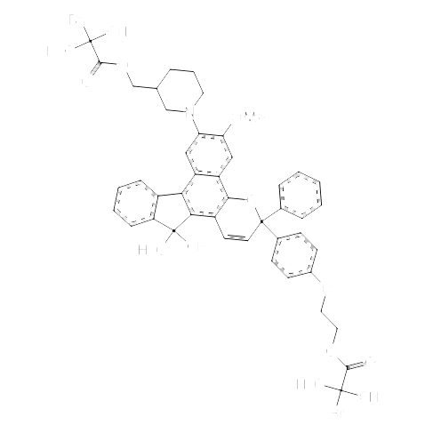 COc1cc2c3c(c4c(c2cc1N1CCCC(COC(=O)C(C)(C)Br)C1)-c1ccccc1C4(C)C)C=CC(c1ccccc1)(c1ccc(OCCOC(=O)C(C)(C)Br)cc1)O3